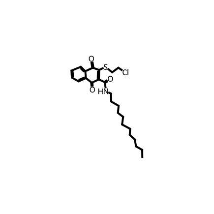 CCCCCCCCCCCCNC(=O)C1=C(SCCCl)C(=O)c2ccccc2C1=O